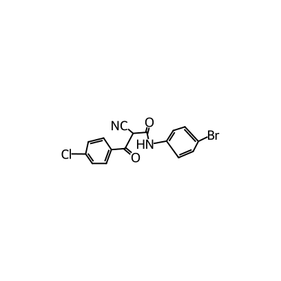 N#CC(C(=O)Nc1ccc(Br)cc1)C(=O)c1ccc(Cl)cc1